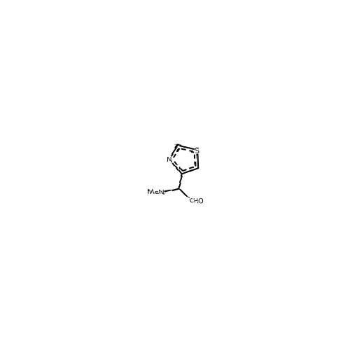 CNC(C=O)c1cs[c]n1